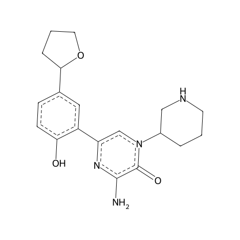 Nc1nc(-c2cc(C3CCCO3)ccc2O)cn(C2CCCNC2)c1=O